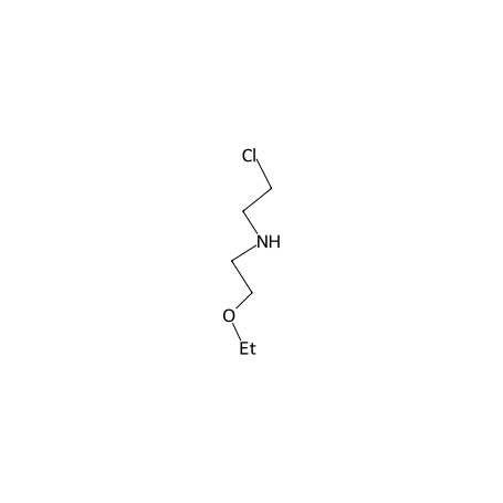 CCOCCNCCCl